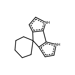 c1cc2c([nH]1)-c1[nH]ccc1C21CCCCC1